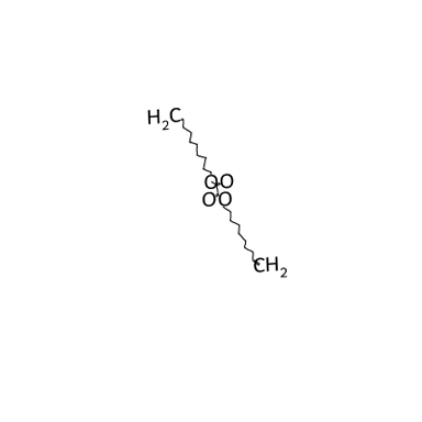 C=CCCCCCCCCOC(=O)C(=O)OCCCCCCCCC=C